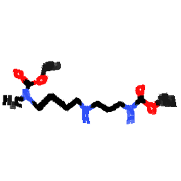 CN(CCCCNCCCNC(=O)OC(C)(C)C)C(=O)OC(C)(C)C